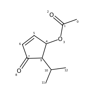 CC(=O)OC1C=CC(=O)C1C(C)C